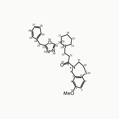 COc1ccc2c(c1)CN(C(=O)CCN1CCCC[C@H]1c1nnc(Cc3ccccc3)o1)CCS2